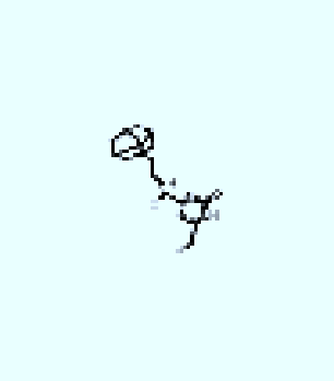 CC(C)Cc1cc(C(=O)NCCC23CC4CC(CC(C4)C2)C3)nc(=O)[nH]1